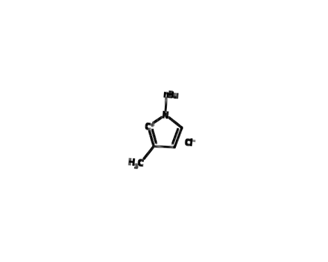 CCCCN1[C+]=C(C)C=C1.[Cl-]